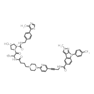 Cc1ncsc1-c1ccc(CNC(=O)[C@@H]2C[C@@H](O)CN2C(=O)C(NC(=O)CCCN2CCN(c3ccc(C#CCNC(=O)c4ccc5c(c4)c4cn(C)nc4n5-c4ccc(C(F)(F)F)cc4)cn3)CC2)C(C)(C)C)cc1